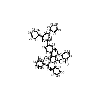 Cc1c2c(-c3cccnc3)nc3cc(-c4nc(-c5ccccc5)cc(C5C=CC=CC5)n4)ccc3c2c(C)c2c(-c3cccnc3)nc3ccccc3c12